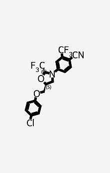 N#Cc1ccc(N2C[C@@H](COc3ccc(Cl)cc3)O[C@@H]2C(F)(F)F)cc1C(F)(F)F